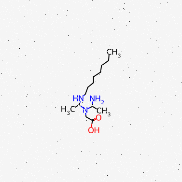 CCCCCCCCNC(C)N(CC(=O)O)C(C)N